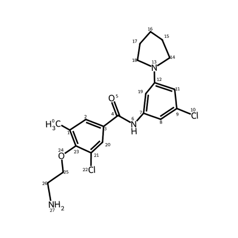 Cc1cc(C(=O)Nc2cc(Cl)cc(N3CCCCC3)c2)cc(Cl)c1OCCN